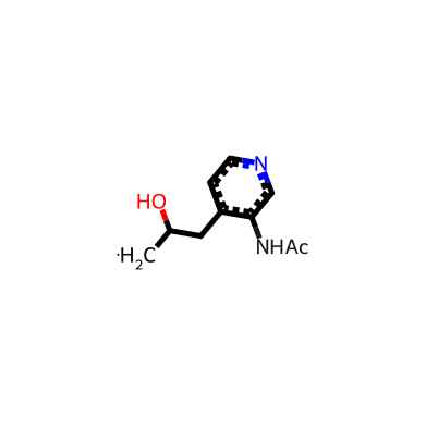 [CH2]C(O)Cc1ccncc1NC(C)=O